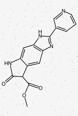 COC(=O)C1C(=O)Nc2cc3[nH]c(-c4cccnc4)nc3cc21